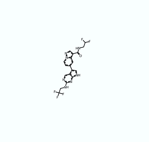 O=C(NCC(F)F)c1cnn2ccc(-c3c[nH]c4nc(NCC(F)(F)F)ncc34)cc12